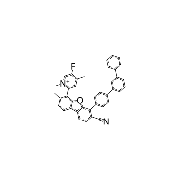 Cc1cc(-c2c(C)ccc3c2oc2c(-c4ccc(-c5cccc(-c6ccccc6)c5)cc4)c(C#N)ccc23)[n+](C)cc1F